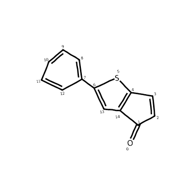 O=C1C=Cc2sc(-c3ccccc3)cc21